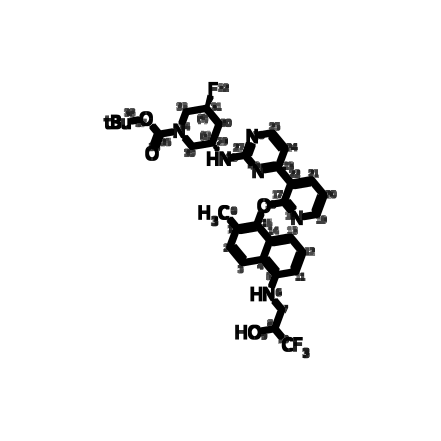 Cc1ccc2c(NCC(O)C(F)(F)F)cccc2c1Oc1ncccc1-c1ccnc(N[C@H]2C[C@H](F)CN(C(=O)OC(C)(C)C)C2)n1